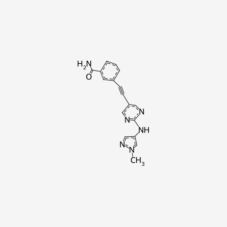 Cn1cc(Nc2ncc(C#Cc3cccc(C(N)=O)c3)cn2)cn1